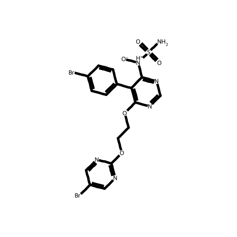 NS(=O)(=O)[NH+]([O-])c1ncnc(OCCOc2ncc(Br)cn2)c1-c1ccc(Br)cc1